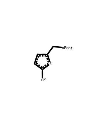 CCCCCCc1ccc(CCC)s1